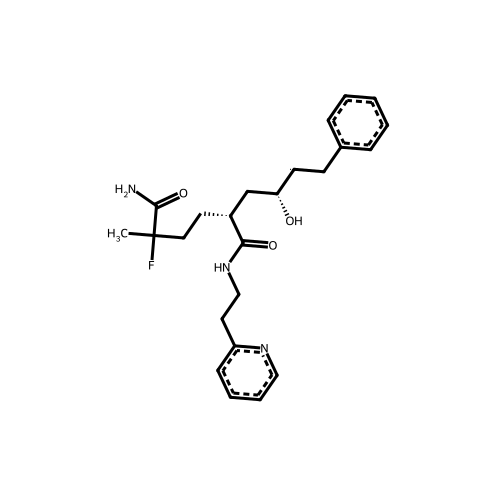 CC(F)(CC[C@H](C[C@@H](O)[CH]Cc1ccccc1)C(=O)NCCc1ccccn1)C(N)=O